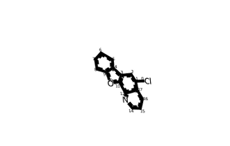 Clc1cc2c3ccccc3oc2c2ncccc12